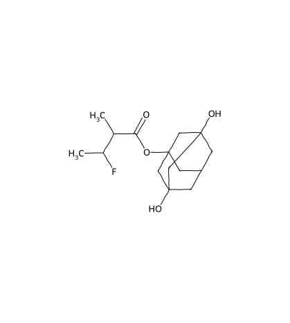 CC(F)C(C)C(=O)OC12CC3CC(O)(CC(O)(C3)C1)C2